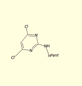 CCCCCNc1nc(Cl)cc(Cl)n1